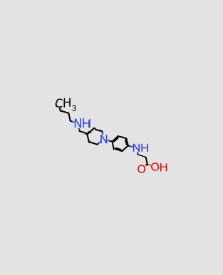 CCCCNCC1CCN(c2ccc(NCCC(=O)O)cc2)CC1